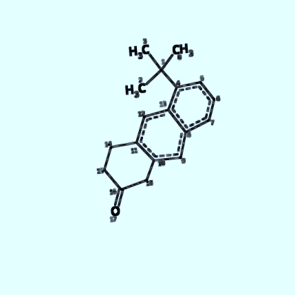 CC(C)(C)c1cccc2cc3c(cc12)CCC(=O)C3